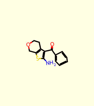 Nc1sc2c(c1C(=O)c1ccccc1)CCOC2